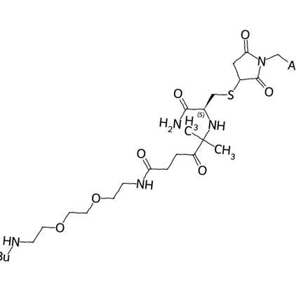 CC(=O)CN1C(=O)CC(SC[C@@H](NC(C)(C)C(=O)CCC(=O)NCCOCCOCCNC(C)(C)C)C(N)=O)C1=O